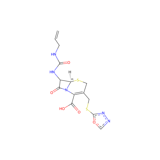 C=CCNC(=O)NC1C(=O)N2C(C(=O)O)=C(CSc3nnco3)CS[C@H]12